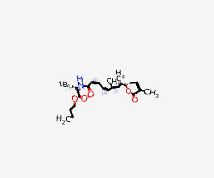 C=CCCOC(=O)[C@@H](NC(=O)\C=C/C=C\C(C)=C\[C@H](C)[C@@H]1CC=C(C)C(=O)O1)C(C)(C)C